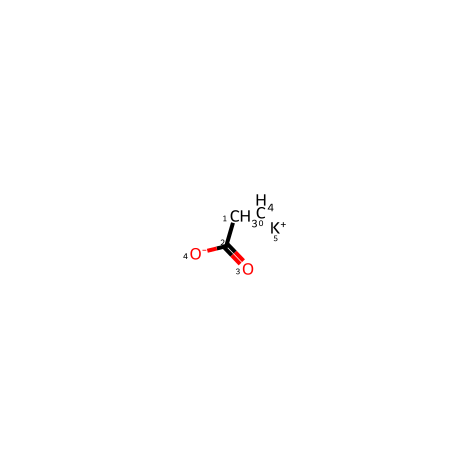 C.CC(=O)[O-].[K+]